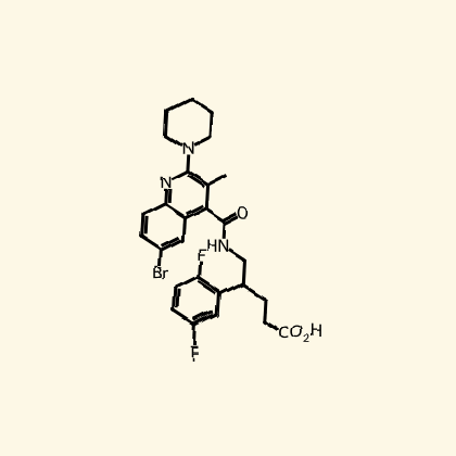 Cc1c(N2CCCCC2)nc2ccc(Br)cc2c1C(=O)NCC(CCC(=O)O)c1cc(F)ccc1F